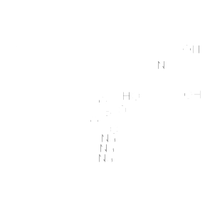 CCCCCCCCCCCCC(CO)N(CCO)CCO.O=P([O-])([O-])[O-].[Na+].[Na+].[Na+]